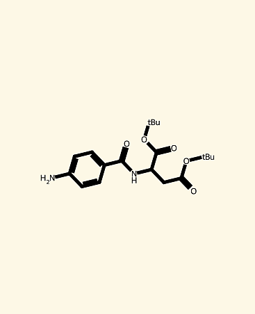 CC(C)(C)OC(=O)CC(NC(=O)c1ccc(N)cc1)C(=O)OC(C)(C)C